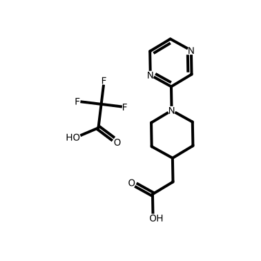 O=C(O)C(F)(F)F.O=C(O)CC1CCN(c2cnccn2)CC1